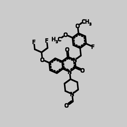 COc1cc(F)c(Cn2c(=O)c3cc(OC(CF)CF)ccc3n(C3CCN(C=O)CC3)c2=O)cc1OC